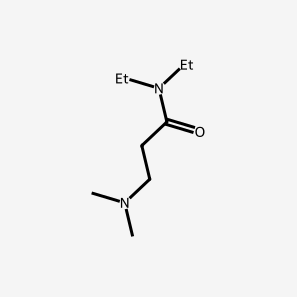 [CH2]CN(C[CH2])C(=O)CCN(C)C